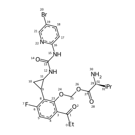 CCC(=O)c1ccc(F)c(C2CC2NC(=O)Nc2ccc(Br)cn2)c1OCOC(=O)[C@@H](N)C(C)C